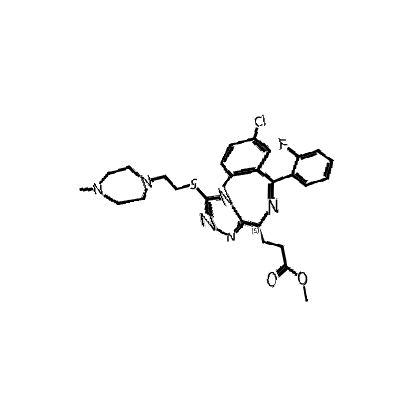 COC(=O)CC[C@@H]1N=C(c2ccccc2F)c2cc(Cl)ccc2-n2c(SCCN3CCN(C)CC3)nnc21